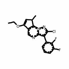 CCOC1=CC(C)c2c1cnc1c(-c3cccc(F)c3F)c(Cl)nn21